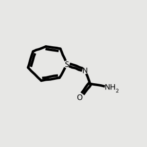 NC(=O)N=S1C=CC=CC=C1